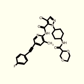 Cc1cc(C#Cc2ccc(F)cc2)cnc1NC(=O)c1c(Cl)cnn1C1CCC(NC(=O)C2COCCO2)CC1